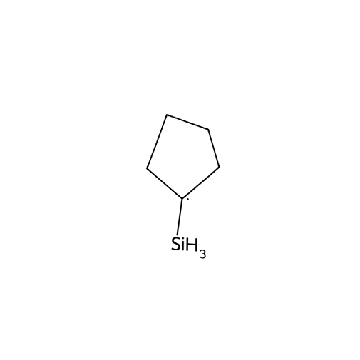 [SiH3][C]1CCCC1